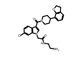 NCCNC(=O)Cn1cc(C(=O)N2CCC(c3cccc4c3OCC4)CC2)c2ccc(Cl)cc21